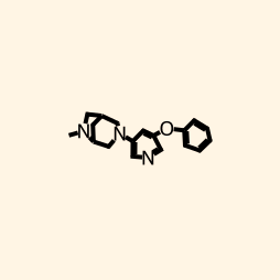 CN1CC2CC1CN(c1cncc(Oc3ccccc3)c1)C2